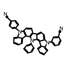 N#Cc1ccc(-n2c3ccccc3c3c2ccc2c4ccc5c(c6ccccc6n5-c5cccc(C#N)c5)c4n(-c4ccccc4)c23)cc1